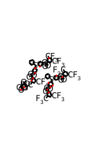 O=S(=O)(Oc1ccc([S+](c2ccccc2)c2ccc(OS(=O)(=O)c3cc(C(F)(F)F)cc(C(F)(F)F)c3)cc2)cc1)c1cc(C(F)(F)F)cc(C(F)(F)F)c1.O=S(=O)(Oc1ccc([S+](c2ccccc2)c2ccc(OS(=O)(=O)c3cc(C(F)(F)F)cc(C(F)(F)F)c3)cc2)cc1)c1cc(C(F)(F)F)cc(C(F)(F)F)c1.O=S(=O)([O-])CS(=O)(=O)[O-]